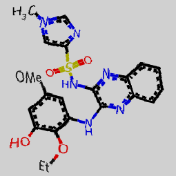 CCOc1c(O)cc(OC)cc1Nc1nc2ccccc2nc1NS(=O)(=O)c1cn(C)cn1